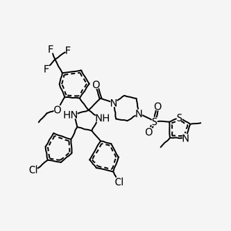 CCOc1cc(C(F)(F)F)ccc1C1(C(=O)N2CCN(S(=O)(=O)c3sc(C)nc3C)CC2)NC(c2ccc(Cl)cc2)C(c2ccc(Cl)cc2)N1